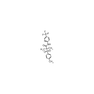 Cc1ccc(S(=O)(=O)C(C)(C)C(=O)Nc2ccc(C(F)(F)F)cn2)cc1